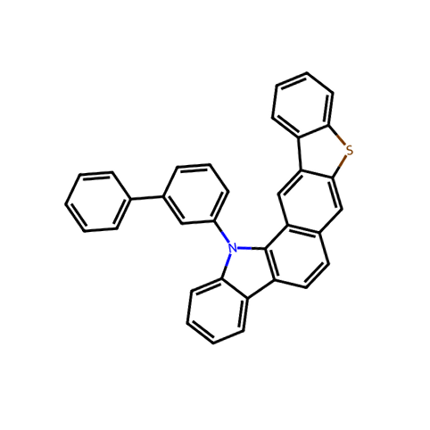 c1ccc(-c2cccc(-n3c4ccccc4c4ccc5cc6sc7ccccc7c6cc5c43)c2)cc1